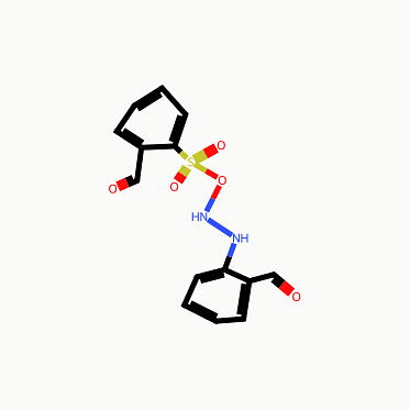 O=Cc1ccccc1NNOS(=O)(=O)c1ccccc1C=O